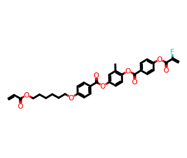 C=CC(=O)OCCCCCCOc1ccc(C(=O)Oc2ccc(OC(=O)c3ccc(OC(=O)C(=C)F)cc3)c(C)c2)cc1